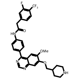 COc1cc2c(-c3ccc(NC(=O)Cc4ccc(C(F)(F)F)c(F)c4)cc3)ncnc2cc1OCC1CCNCC1